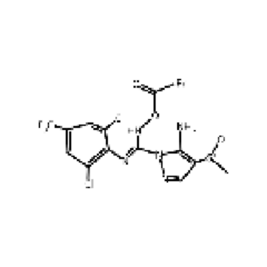 CC(C)C(=O)ONC(=Nc1c(Cl)cc(C(F)(F)F)cc1Cl)n1ncc([S+](C)[O-])c1N